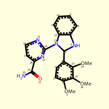 COc1ccc(C2Nc3ccccc3N2c2nccc(C(N)=O)n2)c(OC)c1OC